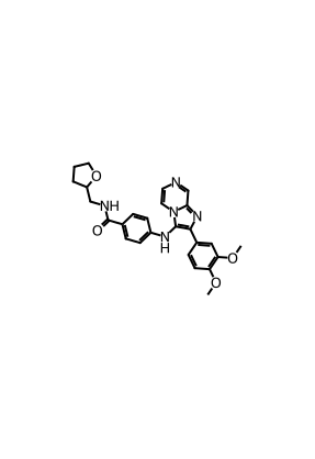 COc1ccc(-c2nc3cnccn3c2Nc2ccc(C(=O)NCC3CCCO3)cc2)cc1OC